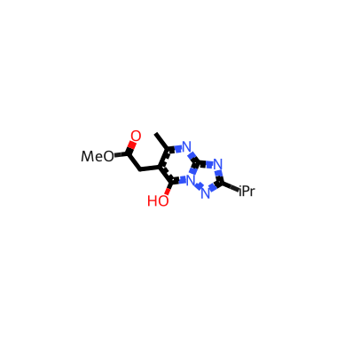 COC(=O)Cc1c(C)nc2nc(C(C)C)nn2c1O